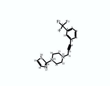 FC(F)(F)c1cccc(C#CCN2CCN(c3nccs3)CC2)c1